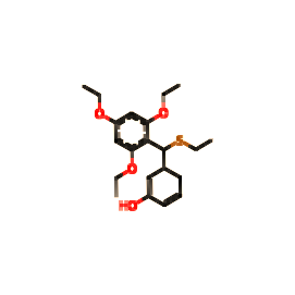 CCOc1cc(OCC)c(C(SCC)C2C=C(O)C=CC2)c(OCC)c1